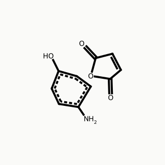 Nc1ccc(O)cc1.O=C1C=CC(=O)O1